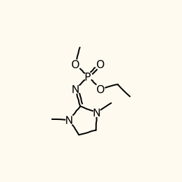 CCOP(=O)(N=C1N(C)CCN1C)OC